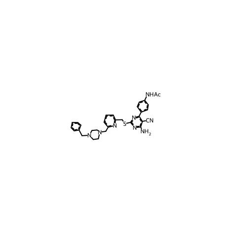 CC(=O)Nc1ccc(-c2nc(SCc3cccc(CN4CCN(Cc5ccccc5)CC4)n3)nc(N)c2C#N)cc1